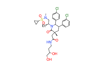 CC[C@@H](CN(C)S(=O)(=O)C1CC1)N1C(=O)[C@@](C)(CC(=O)NCCC(O)CO)CC(c2cccc(Cl)c2)C1c1ccc(Cl)cc1